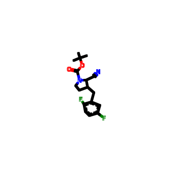 CC(C)(C)OC(=O)N1CCC(Cc2cc(F)ccc2F)C1C#N